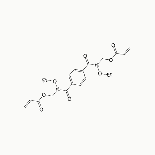 C=CC(=O)OCN(OCC)C(=O)c1ccc(C(=O)N(COC(=O)C=C)OCC)cc1